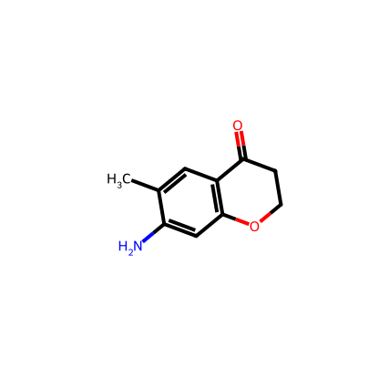 Cc1cc2c(cc1N)OCCC2=O